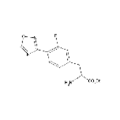 CCOC(=O)C(N)Cc1ccc(-c2n[c]on2)c(F)c1